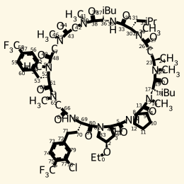 CCO[C@@H]1C[C@H]2C(=O)NC3(CCCC3)C(=O)N(C)[C@@H]([C@@H](C)CC)C(=O)N(C)[C@H](C)CC(=O)N(C)[C@@H](CC(C)C)C(=O)N[C@@H]([C@@H](C)CC)C(=O)N(C)CC(=O)N(C)CC(=O)N(C)[C@@H](Cc3ccc(C(F)(F)F)cc3)C(=O)N(C)CC(=O)N[C@@H](CCc3ccc(C(F)(F)F)c(Cl)c3)C(=O)N2C1